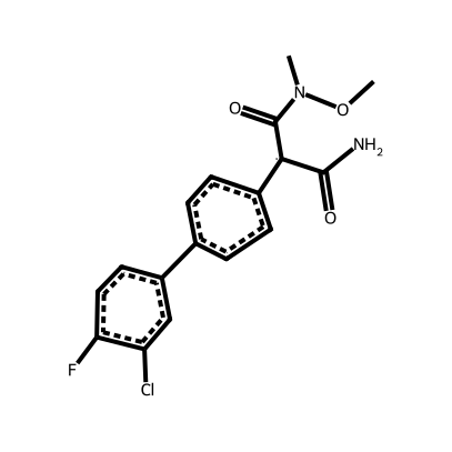 CON(C)C(=O)[C](C(N)=O)c1ccc(-c2ccc(F)c(Cl)c2)cc1